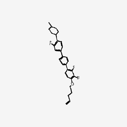 C=CCCCOc1ccc(-c2ccc(-c3ccc(C4CCC(C)CC4)c(F)c3)cc2)c(F)c1F